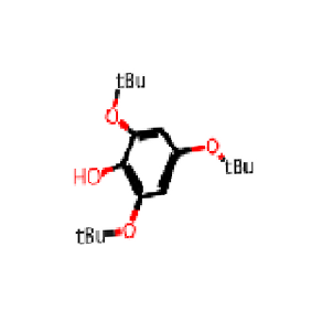 CC(C)(C)Oc1cc(OC(C)(C)C)c(O)c(OC(C)(C)C)c1